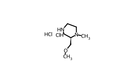 COC[C@H]1CNCCN1C.Cl.Cl